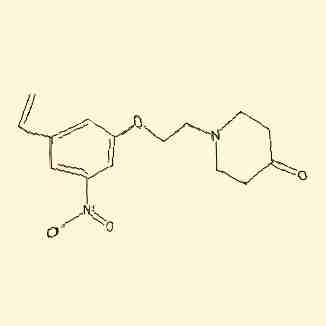 C=Cc1cc(OCCN2CCC(=O)CC2)cc([N+](=O)[O-])c1